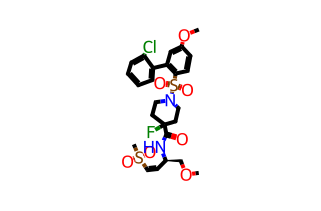 COC[C@@H](/C=C\S(C)(=O)=O)NC(=O)C1(F)CCN(S(=O)(=O)c2ccc(OC)cc2-c2ccccc2Cl)CC1